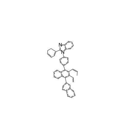 C=Cc1c(/C=C\C)c(-c2ccc(-n3c(C4=CC=CCC4)nc4ccccc43)cc2)c2ccccc2c1-c1ccc2ccccc2c1